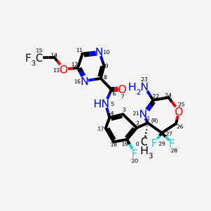 C[C@]1(c2cc(NC(=O)c3cncc(OCC(F)(F)F)n3)ccc2F)N=C(N)COCC1(F)F